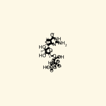 C[C@@]1(O)[C@H](O)[C@@H](COP(=O)(O)OP(=O)(O)OP(=O)(O)O)O[C@H]1c1scc2c(=O)[nH]c(N)nc12